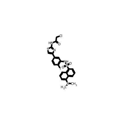 CN(C)c1cccc2c(S(=O)(=O)Nc3cc(-c4csc(NC(=O)CCl)n4)ccc3I)cccc12